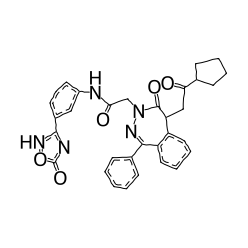 O=C(CN1N=C(c2ccccc2)c2ccccc2C(CC(=O)C2CCCC2)C1=O)Nc1cccc(-c2nc(=O)o[nH]2)c1